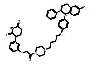 O=C1CCC(c2cccc(OCC(=O)N3CCN(CCCCOc4ccc([C@@H]5c6ccc(O)cc6CC[C@@H]5c5ccccc5)cc4)CC3)c2)C(=O)N1